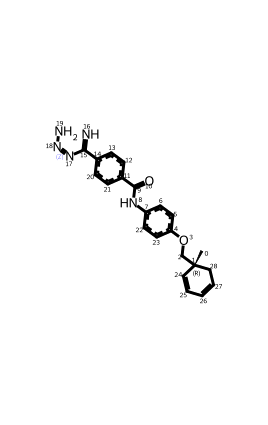 C[C@]1(COc2ccc(NC(=O)c3ccc(C(=N)/N=N\N)cc3)cc2)C=CC=CC1